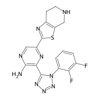 Nc1ncc(-c2nc3c(s2)CNCC3)nc1-c1nnnn1-c1cccc(F)c1F